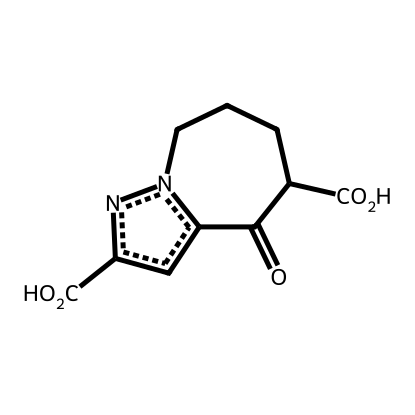 O=C(O)c1cc2n(n1)CCCC(C(=O)O)C2=O